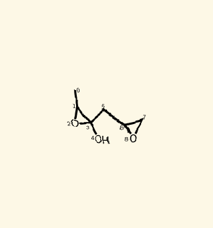 CC1OC1(O)CC1CO1